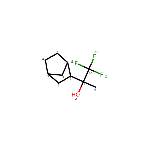 CC(O)(C1CC2CCC1C2)C(F)(F)F